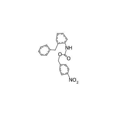 O=C(Nc1ccccc1Cc1ccccc1)OCc1ccc([N+](=O)[O-])cc1